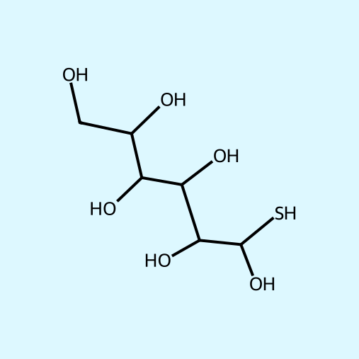 OCC(O)C(O)C(O)C(O)C(O)S